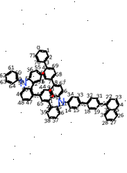 c1ccc(-c2ccc(-c3ccc(N(c4ccc(-c5ccc(-c6cccc7ccccc67)cc5)cc4)c4ccccc4-c4cccc(-c5cccc6c5c5ccccc5n6-c5ccccc5)c4)cc3)cc2)cc1